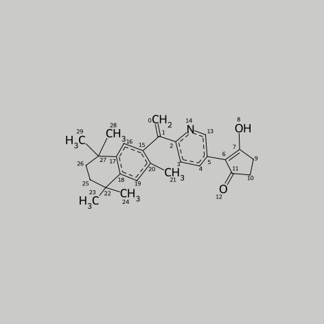 C=C(c1ccc(C2=C(O)CCC2=O)cn1)c1cc2c(cc1C)C(C)(C)CCC2(C)C